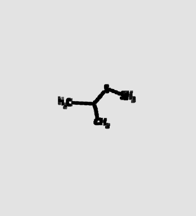 CC(C)S[SiH3]